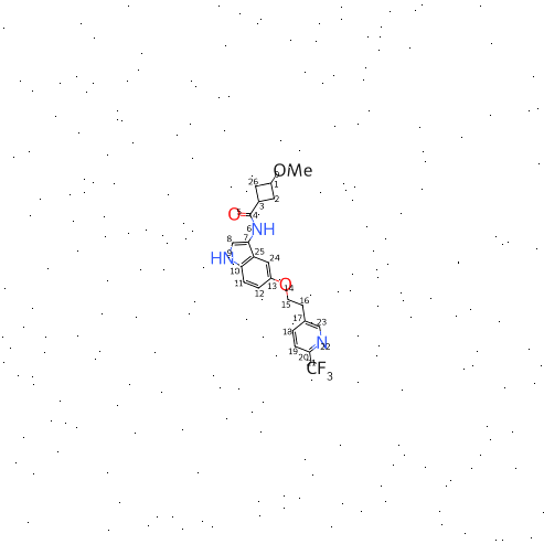 COC1CC(C(=O)Nc2c[nH]c3ccc(OCCc4ccc(C(F)(F)F)nc4)cc23)C1